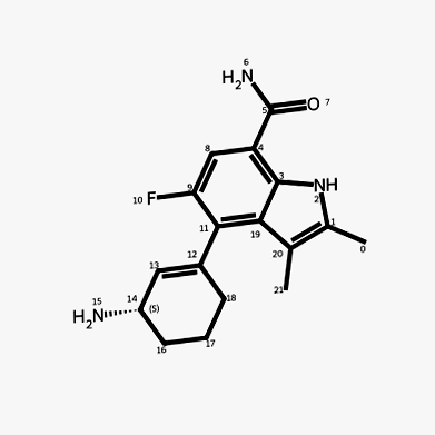 Cc1[nH]c2c(C(N)=O)cc(F)c(C3=C[C@@H](N)CCC3)c2c1C